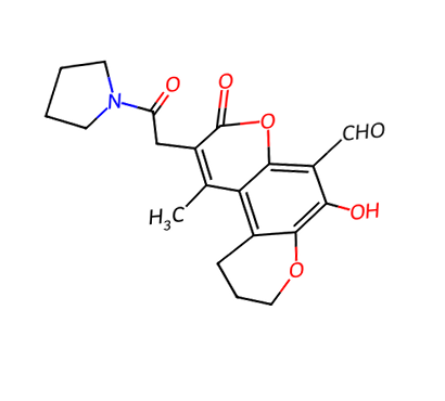 Cc1c(CC(=O)N2CCCC2)c(=O)oc2c(C=O)c(O)c3c(c12)CCCO3